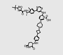 Cc1cc(-c2cc(Nc3ccc(N4CCN(C5CC(c6ccc(N[C@@H]7CCC(=O)NC7=O)cc6)C5)CC4)cn3)ncn2)ccc1[C@@H](C)NC(=O)c1nc(C(C)(C)C)no1.O=CO